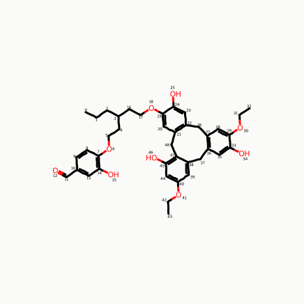 CCCC(CCOc1ccc(C=O)cc1O)CCOc1cc2c(cc1O)Cc1cc(OCC)c(O)cc1Cc1cc(OCC)cc(O)c1C2